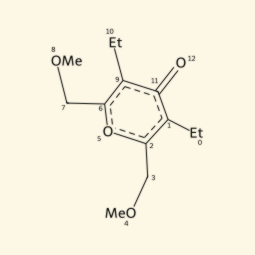 CCc1c(COC)oc(COC)c(CC)c1=O